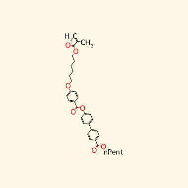 C=C(C)C(=O)OCCCCCCOc1ccc(C(=O)Oc2ccc(-c3ccc(C(=O)OCCCCC)cc3)cc2)cc1